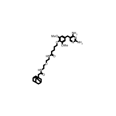 COc1cc(Cc2cnc(N)nc2N)cc(OC)c1OCCCCC(=O)NCCOCCNC(=O)CC12CC3CC(CC(C3)C1)C2